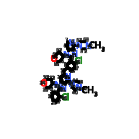 CN1CCN(c2nccc3c2nc(-c2cc(Cc4cc5c(nc(-c6ccccc6Cl)n5C5CCOCC5)c(N5CCN(C)CC5)n4)ccc2Cl)n3C2CCOCC2)CC1